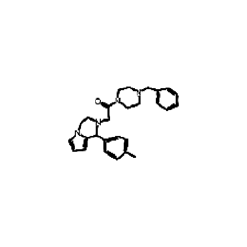 Cc1ccc(C2c3cccn3CCN2CC(=O)N2CCN(Cc3ccccc3)CC2)cc1